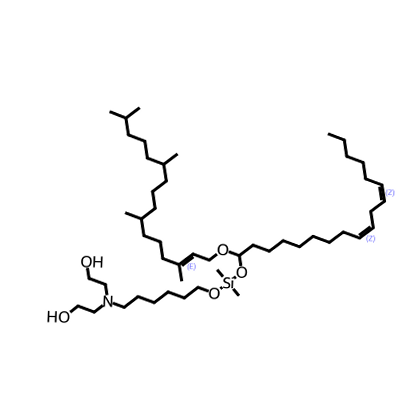 CCCCC/C=C\C/C=C\CCCCCCCC(OC/C=C(\C)CCCC(C)CCCC(C)CCCC(C)C)O[Si](C)(C)OCCCCCCN(CCO)CCO